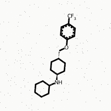 FC(F)(F)c1ccc(OC[C@H]2CC[C@H](NC3CCCCC3)CC2)cc1